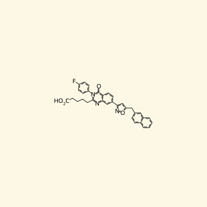 O=C(O)CCCCc1nc2cc(-c3cc(Cc4ccc5ccccc5c4)on3)ccc2c(=O)n1-c1ccc(F)cc1